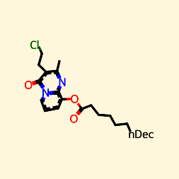 CCCCCCCCCCCCCCCC(=O)Oc1cccn2c(=O)c(CCCl)c(C)nc12